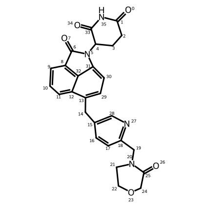 O=C1CCC(N2C(=O)c3cccc4c(Cc5ccc(CN6CCOCC6=O)nc5)ccc2c34)C(=O)N1